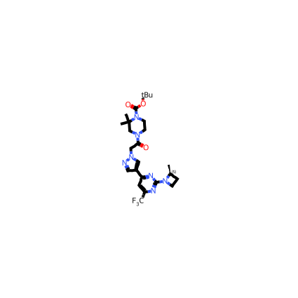 C[C@H]1CCN1c1nc(-c2cnn(CC(=O)N3CCN(C(=O)OC(C)(C)C)C(C)(C)C3)c2)cc(C(F)(F)F)n1